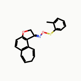 Cc1ccccc1SO/N=C1\COc2ccc3c(c21)C=CCC=C3